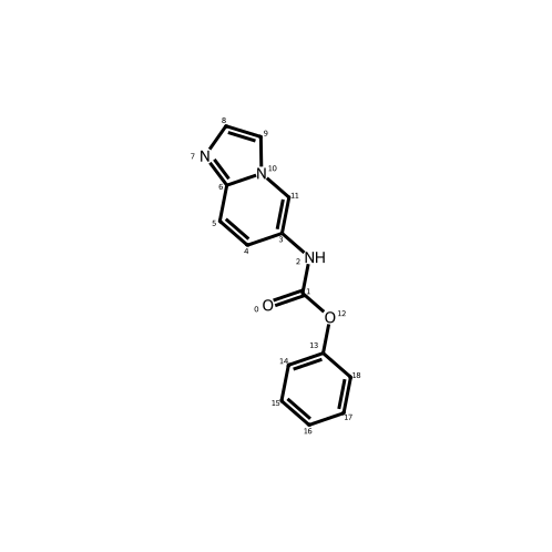 O=C(Nc1ccc2nccn2c1)Oc1ccccc1